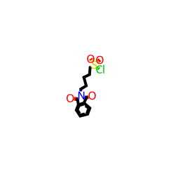 O=C1c2ccccc2C(=O)N1CCCCCS(=O)(=O)Cl